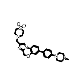 CN1CCN(c2ccc(-c3ccc4c(c3)OCc3nc(CN5CCS(=O)(=O)CC5)cn3-4)cc2)CC1